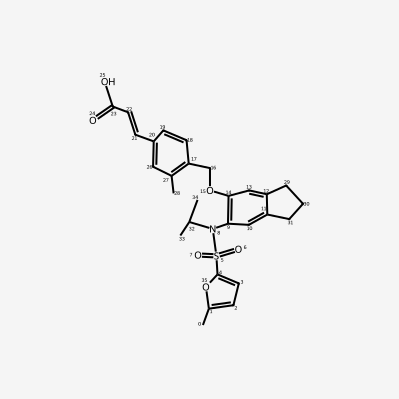 Cc1ccc(S(=O)(=O)N(c2cc3c(cc2OCc2ccc(C=CC(=O)O)cc2C)CCC3)C(C)C)o1